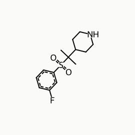 CC(C)(C1CCNCC1)S(=O)(=O)c1cccc(F)c1